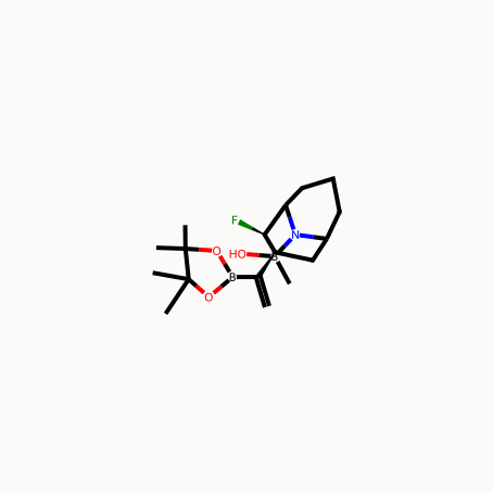 C=C(B1OC(C)(C)C(C)(C)O1)[C@@H]1CC2CCCC([C@@H]1F)N2B(C)O